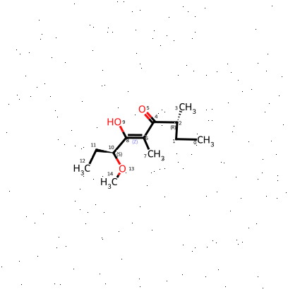 CC[C@@H](C)C(=O)/C(C)=C(\O)[C@H](CC)OC